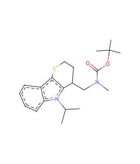 CC(C)n1c2c(c3ccccc31)SCCC2CN(C)C(=O)OC(C)(C)C